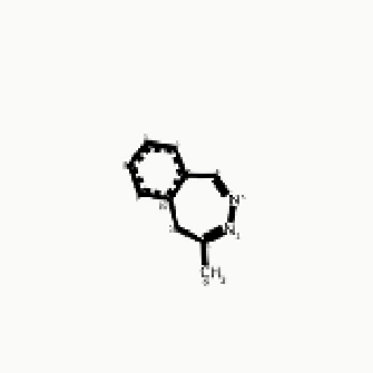 CC1=NN=Cc2ccccc2C1